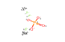 O=P([O-])([O-])[O-].[F-].[F-].[F-].[Na+].[V+5]